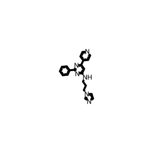 c1ccc(-c2nc(NCCCn3ccnc3)cc(-c3ccncc3)n2)cc1